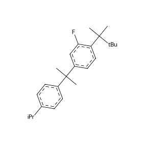 CC(C)c1ccc(C(C)(C)c2ccc(C(C)(C)C(C)(C)C)c(F)c2)cc1